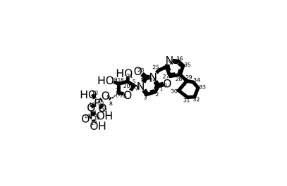 O=c1ccn([C@@H]2O[C@H](COP(=O)(O)OP(=O)(O)O)C(O)C2O)c(=O)n1Cc1cc(C2CCCCC2)ccn1